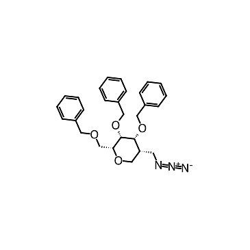 [N-]=[N+]=NC[C@@H]1CO[C@H](COCc2ccccc2)[C@H](OCc2ccccc2)[C@@H]1OCc1ccccc1